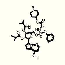 CC(C)C(=O)O[C@H]1[C@H](c2ccc3c(N)ccnn23)O[C@](C#N)(CO[P@](=O)(N[C@@H](C)C(=O)OC2CCN(C)CC2)Oc2ccccc2)[C@H]1OC(=O)C(C)C